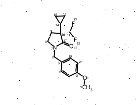 COc1ccc(CN2CC[C@@](C(F)F)(C3CC3)C2=O)cc1